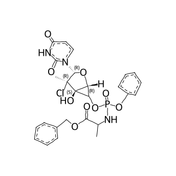 CC(NP(=O)(Oc1ccccc1)OC1[C@H]2O[C@@H](n3ccc(=O)[nH]c3=O)[C@](C)(Cl)[C@@]12O)C(=O)OCc1ccccc1